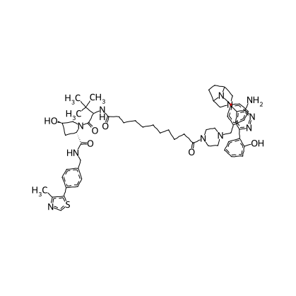 Cc1ncsc1-c1ccc(CNC(=O)[C@@H]2C[C@@H](O)CN2C(=O)C(NC(=O)CCCCCCCCCC(=O)N2CCN(Cc3cccc(N4C5CCC4CN(c4cc(-c6ccccc6O)nnc4N)C5)c3)CC2)C(C)(C)C)cc1